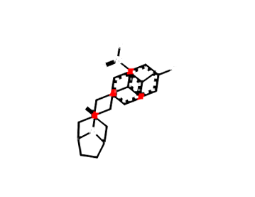 O=C(COc1ccc(Cl)cc1[N+](=O)[O-])N1C2CCC1CC(Cc1ccc(F)cc1)C2